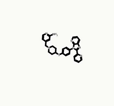 Nc1cc(CN2CCC(Sc3ccc(-n4c(-c5ccccn5)nc5cccnc54)cc3)CC2)ccn1